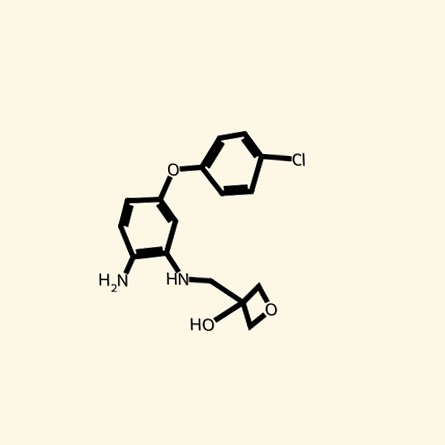 Nc1ccc(Oc2ccc(Cl)cc2)cc1NCC1(O)COC1